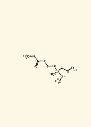 C=CC(=O)OCO[Si](O)(CCC)OC